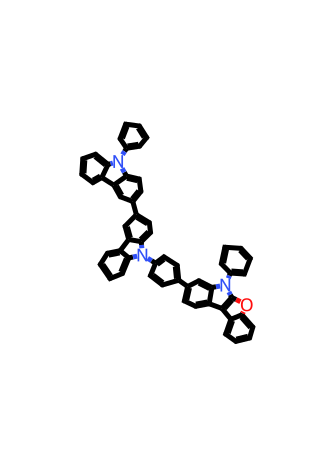 c1ccc(-n2c3ccccc3c3cc(-c4ccc5c(c4)c4ccccc4n5-c4ccc(-c5ccc6c7c8ccccc8oc7n(-c7ccccc7)c6c5)cc4)ccc32)cc1